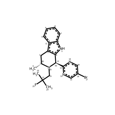 C[C@@H]1Cc2c([nH]c3ccccc23)[C@@H](c2ncc(Br)cn2)N1CC(C)(C)F